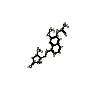 COc1cc2c(OC[C@H]3NC(=O)CC3C)nccc2cc1OC(N)=S